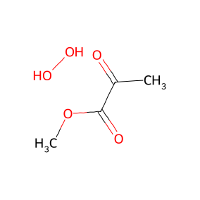 COC(=O)C(C)=O.OO